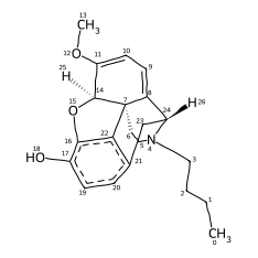 CCCCN1CC[C@@]23C4=CC=C(OC)[C@@H]2Oc2c(O)ccc(c23)C[C@H]41